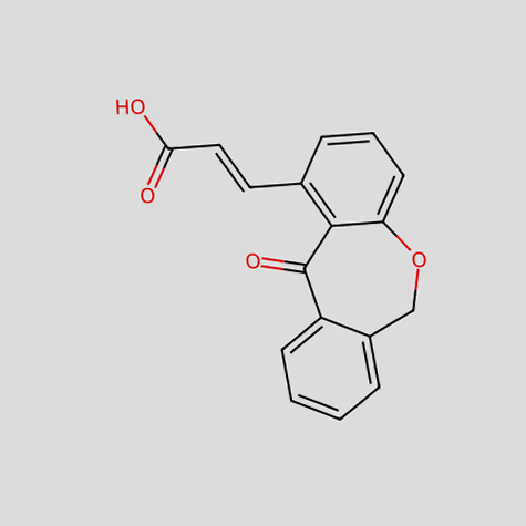 O=C(O)C=Cc1cccc2c1C(=O)c1ccccc1CO2